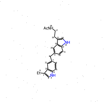 [CH2]Cc1c[nH]c2ccc(Cc3ccc4[nH]cc(CCNC(C)=O)c4c3)cc12